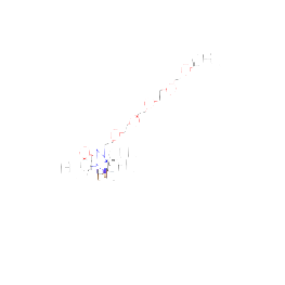 CCOCCOCCOCCOCCOCCN1C(=O)C(C)(C)N(Br)C1(C)C